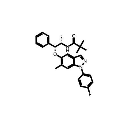 Cc1cc2c(cnn2-c2ccc(F)cc2)cc1O[C@H](c1ccccc1)[C@H](C)NC(=O)C(C)(C)C